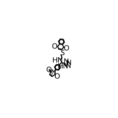 O=C1C=C(SCCNC(c2ccc(N3C(=O)C=CC3=O)cc2)c2nnn[nH]2)C(=O)c2ccccc21